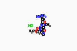 CCOC(=O)CNC(C)(C(=O)N1CCCC1)c1ccc2c(c1)nc(Cc1cccc(C(=N)N)c1)c(=O)n2C.Cl